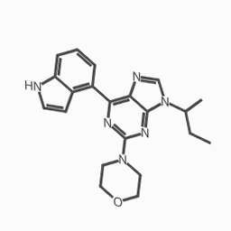 CCC(C)n1cnc2c(-c3cccc4[nH]ccc34)nc(N3CCOCC3)nc21